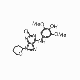 COc1cc(Nc2nc(Cl)nc3c2ncn3C2CCCCO2)cc(OC)c1O